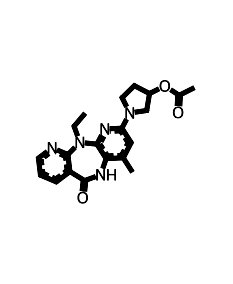 CCN1c2ncccc2C(=O)Nc2c(C)cc(N3CCC(OC(C)=O)C3)nc21